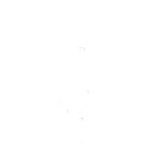 CSc1ccc(NC(=O)[C@@H]2[C@@H](c3cc(Cl)cc(Cl)c3)C2(Cl)Cl)cc1C(=O)Nc1ccc(F)cc1